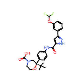 CC(C)(C)[C@]1(c2ccc(NC(=O)c3cc(-c4cccc(OC(F)F)c4)n[nH]3)cc2)CN(C(=O)O)CCO1